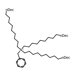 CCCCCCCCCCCCCCCCCCC[N+](CCCCCCCCCCCCCCCCCCC)(CCCCCCCCCCCCCCCCCCC)Cc1ccccc1